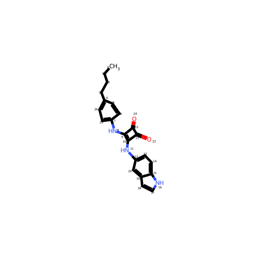 CCCCc1ccc(Nc2c(Nc3ccc4[nH]ccc4c3)c(=O)c2=O)cc1